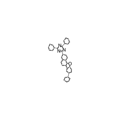 c1ccc(-c2ccc3oc4c5ccc(-c6nc(-c7ccccc7)nc(-c7ccccc7)n6)cc5ccc4c3c2)cc1